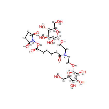 O=C(CCCCC(=O)N(CCO[C@H]1O[C@H](CO)[C@@H](O)[C@H](O)[C@@H]1O)CCO[C@H]1O[C@H](CO)[C@@H](O)[C@H](O)[C@@H]1O)ON1C(=O)CCC1=O